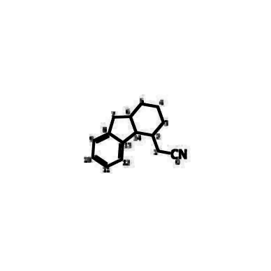 N#CCC1CCCC2Cc3ccccc3C12